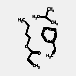 C=CC(=O)OCCCC.C=Cc1ccccc1.C[C](C)C